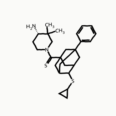 CC1(C)CN(C(=S)C23CC4CC(c5ccccc5)(CC(C2)C4SC2CC2)C3)CC[C@@H]1N